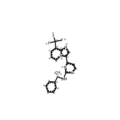 C[C@H](Nc1nccc(-c2cnc3c(C(F)(F)F)cccn23)n1)c1ccccc1